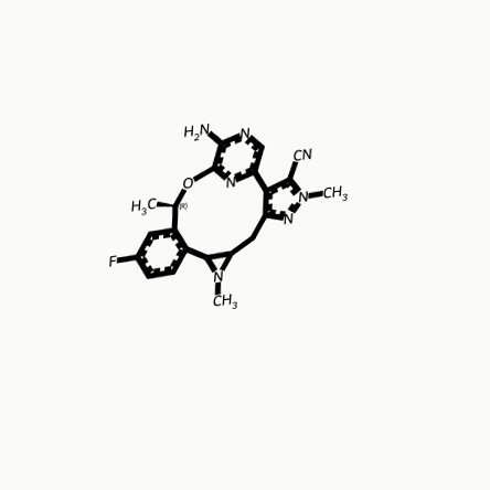 C[C@H]1Oc2nc(cnc2N)-c2c(nn(C)c2C#N)CC2C(c3ccc(F)cc31)N2C